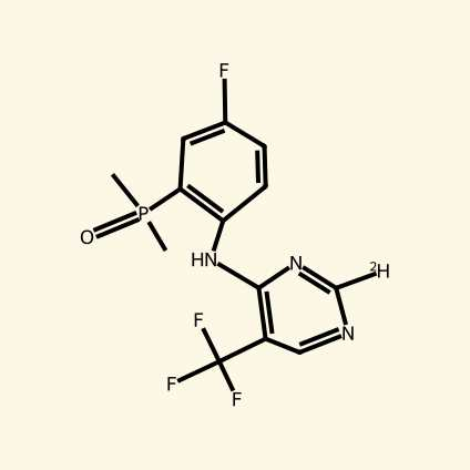 [2H]c1ncc(C(F)(F)F)c(Nc2ccc(F)cc2P(C)(C)=O)n1